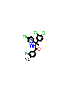 CC(NC(=O)c1ccc(C#N)c(F)c1)(C1=CC=C(Cl)CN1)c1ccc(Cl)c(Cl)c1